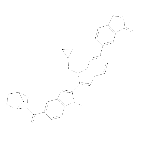 Cn1c(-c2cc3ccc(-c4ccc5c(c4)C(=O)NC5)nc3n2CC2CC2)nc2cc(C(=O)N3CC4CCC3C4)ccc21